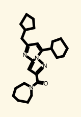 O=C(c1cc2nc(CC3CCCC3)cc(C3CCCCC3)n2n1)N1CCCCCC1